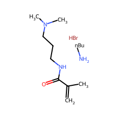 Br.C=C(C)C(=O)NCCCN(C)C.CCCCN